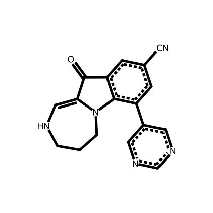 N#Cc1cc2c(c(-c3cncnc3)c1)N1CCCNC=C1C2=O